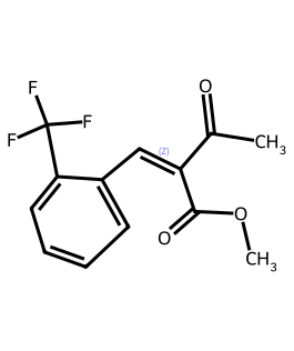 COC(=O)/C(=C\c1ccccc1C(F)(F)F)C(C)=O